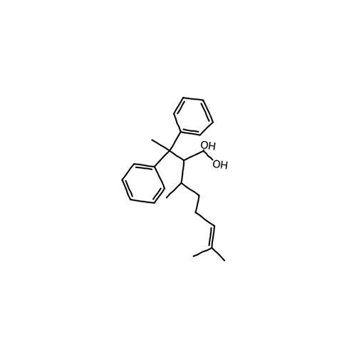 CC(C)=CCCC(C)C(C(O)O)C(C)(c1ccccc1)c1ccccc1